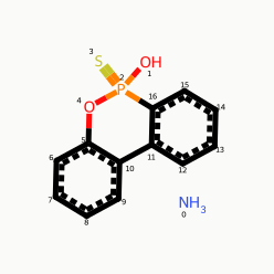 N.OP1(=S)Oc2ccccc2-c2ccccc21